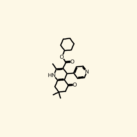 CC1=C(C(=O)OC2CCCCC2)C(c2ccncc2)C2=C(CC(C)(C)CC2=O)N1